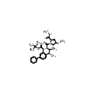 COC(=O)C1CC(OC)CN1C(=O)[C@@H](NC(=O)OC(C)(C)C)C(C)[C@@H](C)c1ccc(-c2ccccc2)cc1